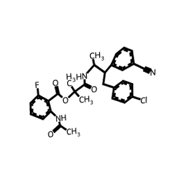 CC(=O)Nc1cccc(F)c1C(=O)OC(C)(C)C(=O)NC(C)C(Cc1ccc(Cl)cc1)c1cccc(C#N)c1